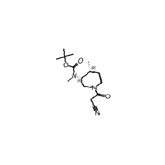 C[C@@H]1CCN(C(=O)CC#N)C[C@@H]1N(C)C(=O)OC(C)(C)C